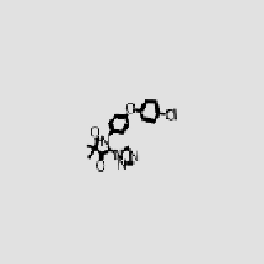 CC1(C)C(=O)C(n2cncn2)N(c2ccc(Oc3ccc(Cl)cc3)cc2)C1=O